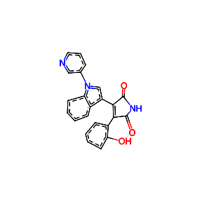 O=C1NC(=O)C(c2cn(-c3cccnc3)c3ccccc23)=C1c1ccccc1O